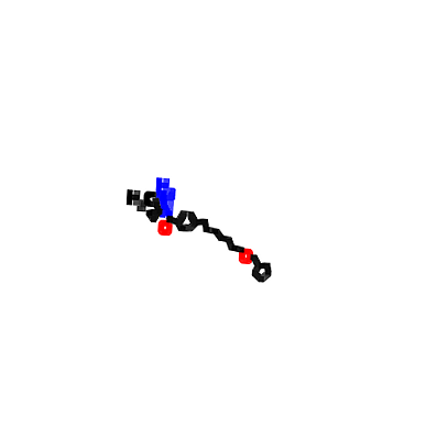 C=C(N)C1(NC(=O)c2ccc(CCCCCCCOCC3CCCC3)cc2)CC1